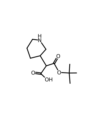 CC(C)(C)OC(=O)C(C(=O)O)C1CCCNC1